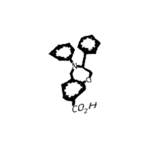 O=C(O)c1ccc2c(c1)OCC(c1ccccc1)N(c1ccccc1)C2